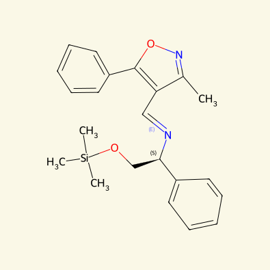 Cc1noc(-c2ccccc2)c1/C=N/[C@H](CO[Si](C)(C)C)c1ccccc1